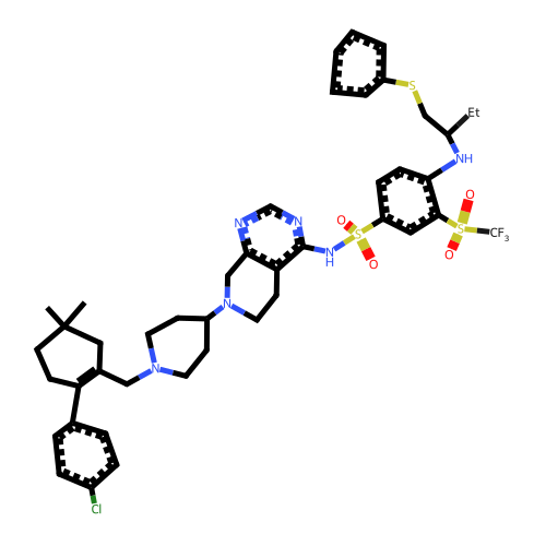 CCC(CSc1ccccc1)Nc1ccc(S(=O)(=O)Nc2ncnc3c2CCN(C2CCN(CC4=C(c5ccc(Cl)cc5)CCC(C)(C)C4)CC2)C3)cc1S(=O)(=O)C(F)(F)F